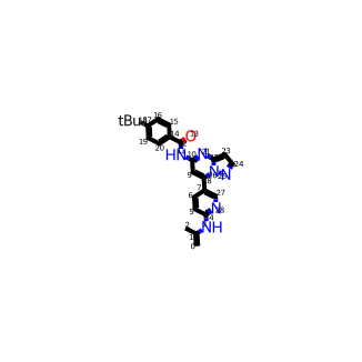 C=C(C)Nc1ccc(-c2cc(NC(=O)c3ccc(C(C)(C)C)cc3)nc3ccnn23)cn1